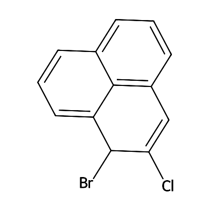 ClC1=Cc2cccc3cccc(c23)C1Br